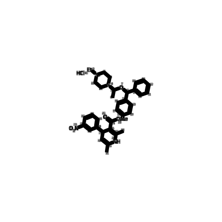 CCN1CCN(C(C)OC(c2ccccc2)c2ccccc2)CC1.COC(=O)C1=C(C)NC(C)=CC1c1cccc([N+](=O)[O-])c1.Cl